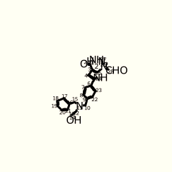 NC(=O)c1cc(-c2ccc(CN(CCO)Cc3ccccc3)cc2)[nH]c1N(N)C=O